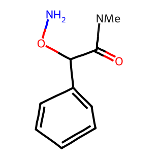 CNC(=O)C(ON)c1ccccc1